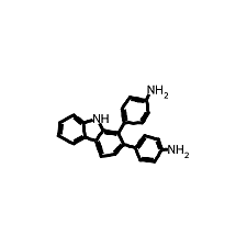 Nc1ccc(-c2ccc3c([nH]c4ccccc43)c2-c2ccc(N)cc2)cc1